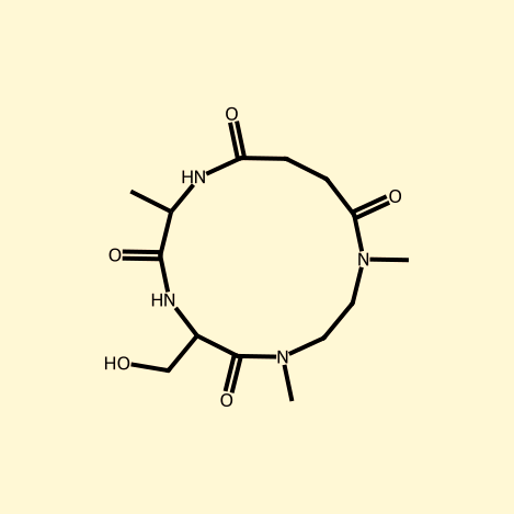 CC1NC(=O)CCC(=O)N(C)CCN(C)C(=O)C(CO)NC1=O